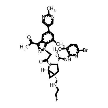 CC(=O)c1nn(CC(=O)N2[C@H](C(=O)Nc3nc(Br)ccc3C)C[C@@]3(CNCCF)C[C@@H]23)c2c(C)cc(-c3cnc(C)nc3)cc12